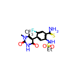 CCS(=O)(=O)Nc1cc(-c2c(C(F)(F)F)n(C)c(=O)[nH]c2=O)c(F)cc1C(N)=S